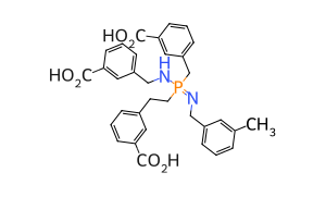 Cc1cccc(CN=P(CCc2cccc(C(=O)O)c2)(Cc2cccc(C(=O)O)c2)NCc2cccc(C(=O)O)c2)c1